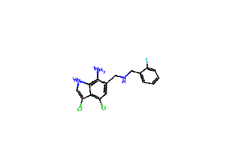 Nc1c(CNCc2ccccc2F)cc(Cl)c2c(Cl)c[nH]c12